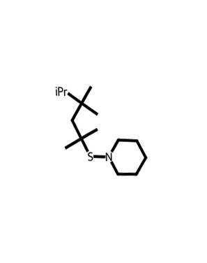 CC(C)C(C)(C)CC(C)(C)SN1CCCCC1